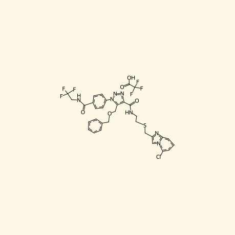 O=C(NCC(F)(F)F)c1ccc(-n2nnc(C(=O)NCCSCc3cn4c(Cl)cccc4n3)c2COCc2ccccc2)cc1.O=C(O)C(F)(F)F